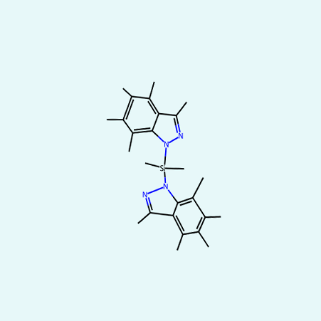 Cc1c(C)c(C)c2c(c(C)nn2[Si](C)(C)n2nc(C)c3c(C)c(C)c(C)c(C)c32)c1C